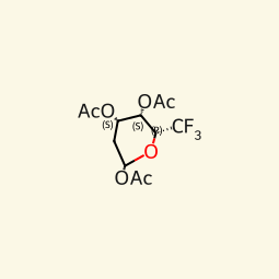 CC(=O)OC1C[C@H](OC(C)=O)[C@H](OC(C)=O)[C@H](C(F)(F)F)O1